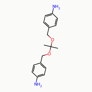 CC(C)(OCc1ccc(N)cc1)OCc1ccc(N)cc1